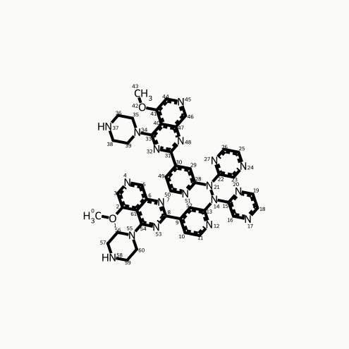 COc1cncc2nc(-c3ccnc(N(c4cnccn4)N(c4cnccn4)c4cc(-c5nc(N6CCNCC6)c6c(OC)cncc6n5)ccn4)c3)nc(N3CCNCC3)c12